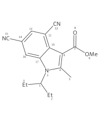 CCC(CC)n1c(C)c(C(=O)OC)c2c(C#N)cc(C#N)cc21